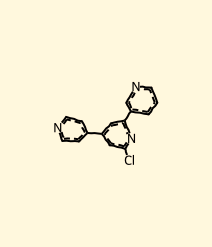 Clc1cc(-c2ccncc2)cc(-c2cccnc2)n1